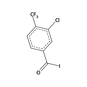 O=C(I)c1ccc(C(F)(F)F)c(Cl)c1